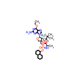 CCOc1nc(N)nc2c1ncn2[C@@H]1OCC(O)(COP(=O)(NC(C)C(=O)OCC(C)(C)C)Oc2cccc3ccccc23)[C@@]1(C)F